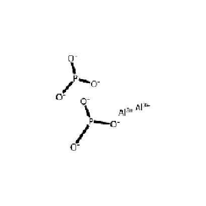 [Al+3].[Al+3].[O-]P([O-])[O-].[O-]P([O-])[O-]